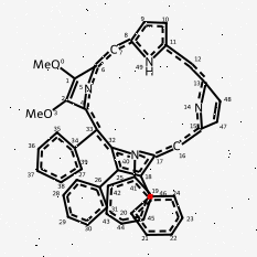 COC1=C(OC)c2nc1cc1ccc(cc3nc(cc4c(-c5ccccc5)c(-c5ccccc5)c(c2-c2ccccc2)n4-c2ccccc2)C=C3)[nH]1